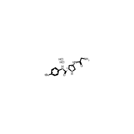 CC(C)(C)c1ccc(NC(=O)[C@@H]2C[C@@H](NC(=O)CN)CN2)cc1.Cl.Cl